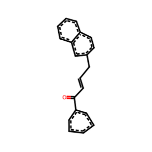 O=C(/C=C/Cc1ccc2ccccc2c1)c1ccccc1